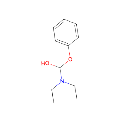 CCN(CC)C(O)Oc1ccccc1